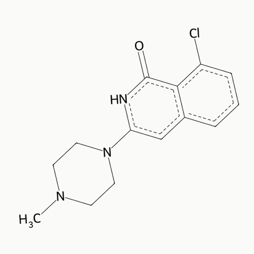 CN1CCN(c2cc3cccc(Cl)c3c(=O)[nH]2)CC1